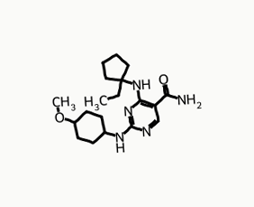 CCC1(Nc2nc(NC3CCC(OC)CC3)ncc2C(N)=O)CCCC1